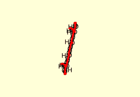 O=C(CCOCCOCCOCCOCCOCCC(=O)NCCCOCCOCCOCCCNC(=O)[C@H](CCCCNC(=O)OCc1ccccc1)NC(=O)OCc1ccccc1)NCCCOCCOCCOCCCNC(=O)[C@H](CCCCCNC(=O)OCc1ccccc1)NC(=O)OCc1ccccc1